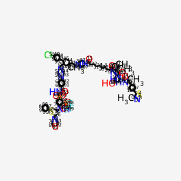 Cc1ncsc1-c1ccc([C@H](C)NC(=O)[C@@H]2C[C@@H](O)CN2C(=O)[C@@H](NC(=O)CCCCCCCC(=O)N2CCN(CCC3(C)CCC(c4ccc(Cl)cc4)=C(CN4CCN(c5ccc(C(=O)NS(=O)(=O)c6ccc(N[C@H](CCN7CCOCC7)CSc7ccccc7)c(S(=O)(=O)C(F)(F)F)c6)cc5)CC4)C3)CC2)C(C)(C)C)cc1